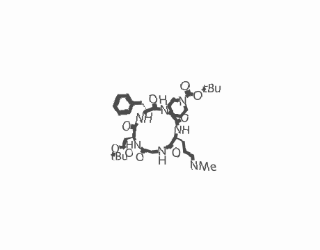 CNCCC[C@@H]1NC(=O)C2(CCN(C(=O)OC(C)(C)C)CC2)NC(=O)[C@@H](Cc2ccccc2)NC(=O)[C@H](CC(=O)OC(C)(C)C)NC(=O)CNC1=O